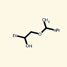 CCCC(C)OCC(O)CC